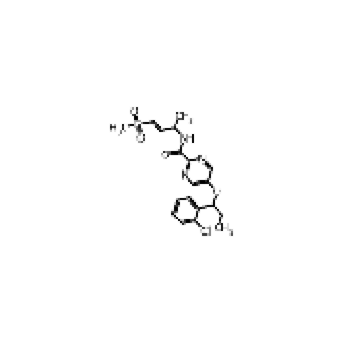 CCC(Oc1cnc(C(=O)N[C@H](C)/C=C/S(C)(=O)=O)nc1)c1ccccc1Cl